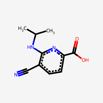 CC(C)Nc1nc(C(=O)O)ccc1C#N